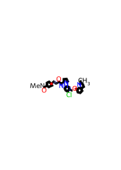 CNC(=O)c1ccc(/C=C/C(=O)C(N)c2cccn2-c2ccc(Cl)c(COc3cccc4ccc(C)nc34)c2)cc1